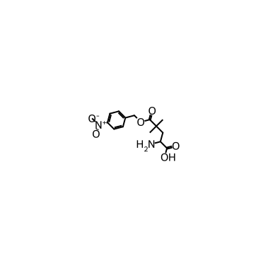 CC(C)(CC(N)C(=O)O)C(=O)OCc1ccc([N+](=O)[O-])cc1